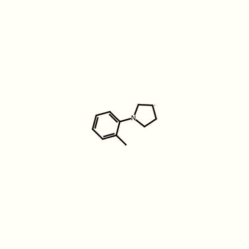 Cc1ccccc1N1C[CH]CC1